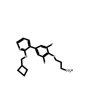 O=C(O)CCCSc1c(F)cc(-c2cccnc2OCC2CCC2)cc1F